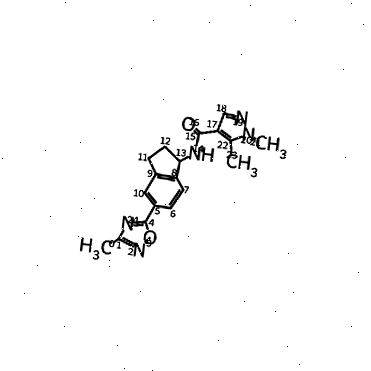 Cc1noc(-c2ccc3c(c2)CCC3NC(=O)c2cnn(C)c2C)n1